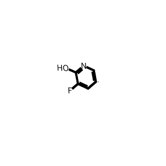 Oc1nc[c]cc1F